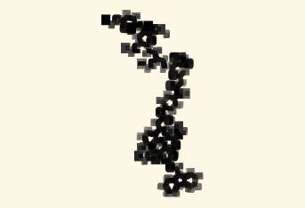 CC(/C=C/[C@H]1O[C@H](CC(=O)NC2CCC(OC(=O)CCc3ccccc3N(C(=O)[C@@H](NC(=O)OCC3c4ccccc4-c4ccccc43)C(C)C)[C@@H](C)C(N)=O)CC2)C[C@@]2(CO2)[C@@H]1O)=C\C[C@@H]1O[C@H](C)[C@H](NC(=O)/C=C\[C@H](C)O)C[C@@H]1C